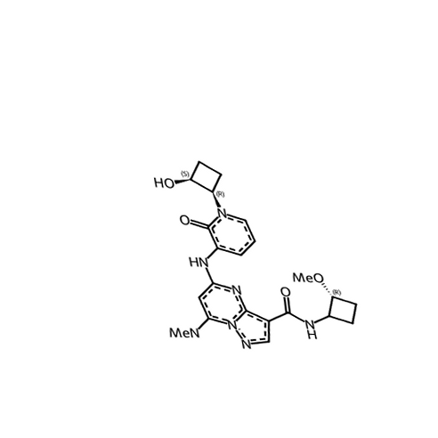 CNc1cc(Nc2cccn([C@@H]3CC[C@@H]3O)c2=O)nc2c(C(=O)NC3CC[C@H]3OC)cnn12